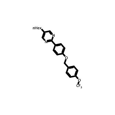 CCCCCCc1cnc(-c2ccc(OCc3ccc(OC(F)(F)F)cc3)cc2)nc1